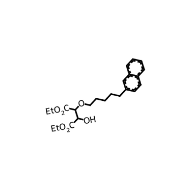 CCOC(=O)C(O)C(OCCCCCc1ccc2ccccc2c1)C(=O)OCC